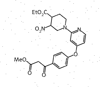 CCOC(=O)C1CCN(c2cc(Oc3ccc(C(=O)CC(=O)OC)cc3)ccn2)CC1[N+](=O)[O-]